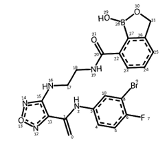 C=C(Nc1ccc(F)c(Br)c1)c1nonc1NCCNC(=O)c1cccc2c1B(O)OC2